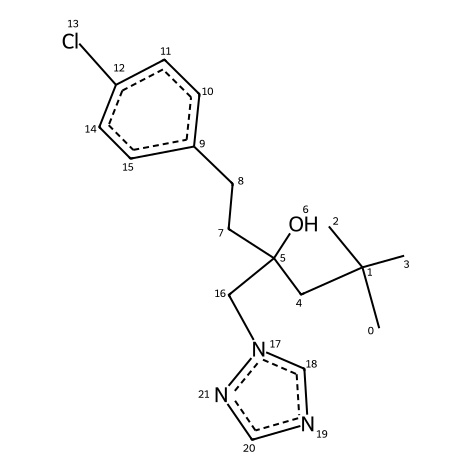 CC(C)(C)CC(O)(CCc1ccc(Cl)cc1)Cn1cncn1